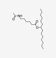 CCCCCCCC(CCCCCC)OC(=O)CCCCCNC(C)=O